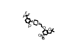 COc1ccc(C(F)(F)F)cc1N1CCN(CCOc2cc([N+](=O)[O-])cc3c2OC(C)(C)C3)CC1